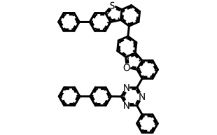 c1ccc(-c2ccc(-c3nc(-c4ccccc4)nc(-c4cccc5c4oc4ccc(-c6cccc7sc8cc(-c9ccccc9)ccc8c67)cc45)n3)cc2)cc1